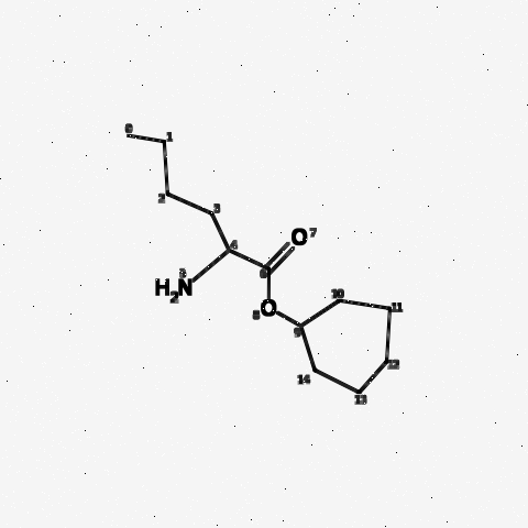 CCCCC(N)C(=O)OC1CCCCC1